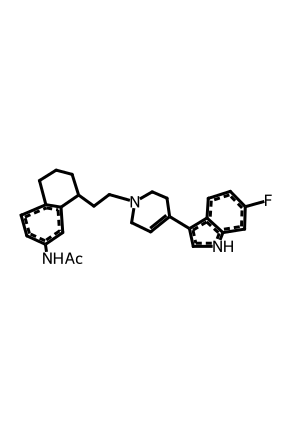 CC(=O)Nc1ccc2c(c1)C(CCN1CC=C(c3c[nH]c4cc(F)ccc34)CC1)CCC2